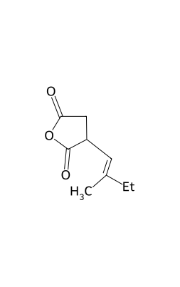 CCC(C)=CC1CC(=O)OC1=O